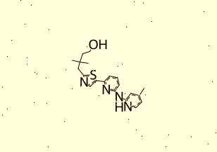 Cc1ccnc(Nc2cccc(-c3cnc(CC(C)(C)CCO)s3)n2)c1